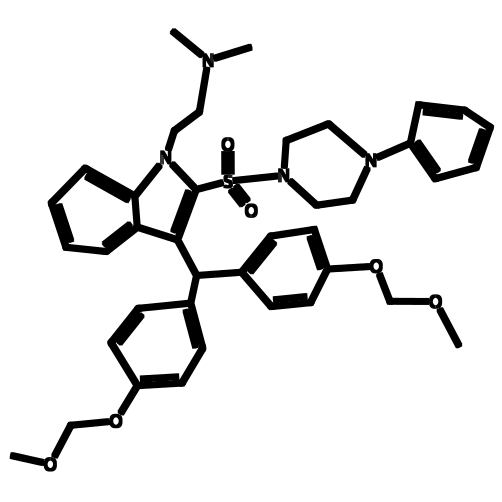 COCOc1ccc(C(c2ccc(OCOC)cc2)c2c(S(=O)(=O)N3CCN(c4ccccc4)CC3)n(CCN(C)C)c3ccccc23)cc1